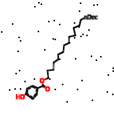 CCCCCCCCCCCCCCCCCCCCCCCCOC(=O)c1ccc(O)cc1